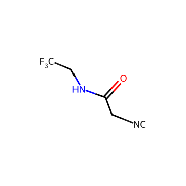 [C-]#[N+]CC(=O)NCC(F)(F)F